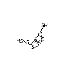 SCCSCC1CS[Si]2(SCCS1)SCCSC(CSCCS)CS2